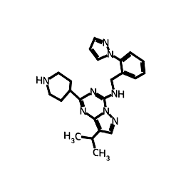 CC(C)c1cnn2c(NCc3ccccc3-n3cccn3)nc(C3CCNCC3)nc12